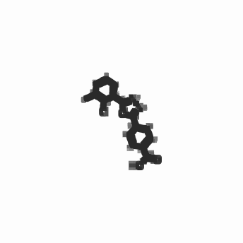 Cc1cccc(-c2nnc(-c3ccc(C(=O)O)cc3)o2)c1Cl